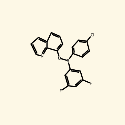 Fc1cc(F)cc(B(Oc2cccc3cccnc23)c2ccc(Cl)cc2)c1